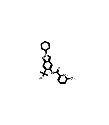 CC(C)(O)c1cc2nn(C3CCCCC3)cc2cc1NC(=O)C1=CC=CC(C(F)(F)F)N1